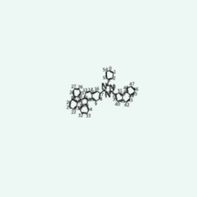 c1ccc(-c2nc(-c3ccc4c5c(ccc4c3)C(c3ccccc3)(c3ccccc3)c3ccccc3-5)nc(-c3ccc4ccc5ccccc5c4c3)n2)cc1